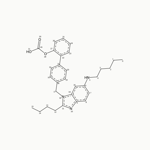 CCCCCNc1ccc2nc(CCCC)n(Cc3ccc(-c4ccccc4OC(=O)O)cc3)c2c1